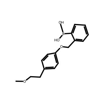 COCCc1ccc(OCc2ccccc2B(O)O)cc1